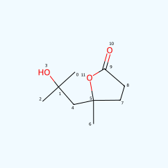 CC(C)(O)CC1(C)CCC(=O)O1